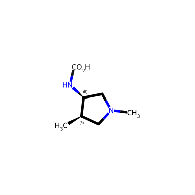 C[C@@H]1CN(C)C[C@@H]1NC(=O)O